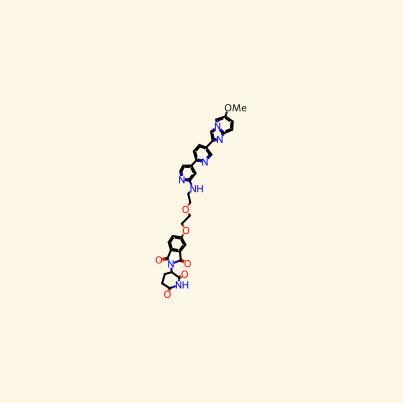 COc1ccc2nc(-c3ccc(-c4ccnc(NCCOCCOc5ccc6c(c5)C(=O)N(C5CCC(=O)NC5=O)C6=O)c4)nc3)cn2c1